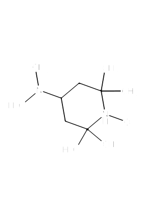 CN(C)C1CC(C)(C)[NH+]([O-])C(C)(C)C1